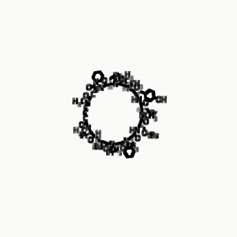 CC[C@H](C)[C@@H]1NC(=O)[C@H](C(C)C)N(C)C(=O)CCCN(C)C(=O)C[C@@H](C(=O)N2CCCCC2)NC(=O)[C@H](CC(C)C)N(C)C(=O)[C@H](C)N(C)C(=O)[C@H](Cc2ccc(O)cc2)NC(=O)[C@H](CC(C)C)N(C)C(=O)[C@H](COC(C)(C)C)NC(=O)[C@H](Cc2ccccc2)N(C)C(=O)[C@H](CC(C)C)N(C)C1=O